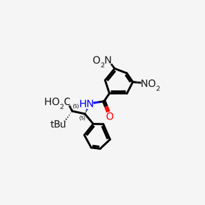 CC(C)(C)[C@H](C(=O)O)[C@H](NC(=O)c1cc([N+](=O)[O-])cc([N+](=O)[O-])c1)c1ccccc1